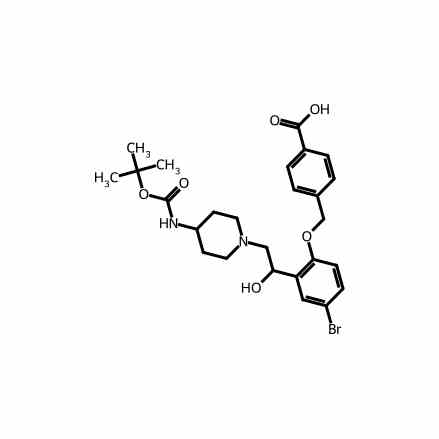 CC(C)(C)OC(=O)NC1CCN(CC(O)c2cc(Br)ccc2OCc2ccc(C(=O)O)cc2)CC1